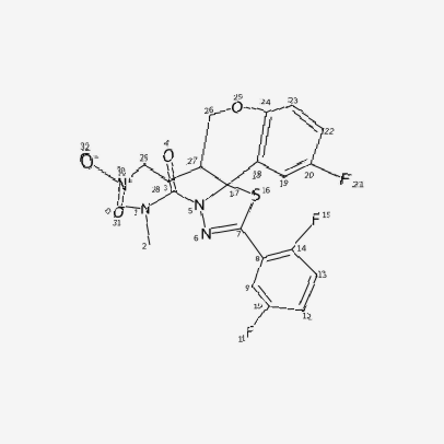 CN(C)C(=O)N1N=C(c2cc(F)ccc2F)SC12c1cc(F)ccc1OCC2CC[N+](=O)[O-]